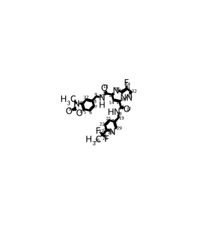 Cn1c(=O)oc2ccc(CNC(=O)c3cc(C(=O)NCc4ccc(C(C)(F)F)nc4)n4ncc(F)c4n3)cc21